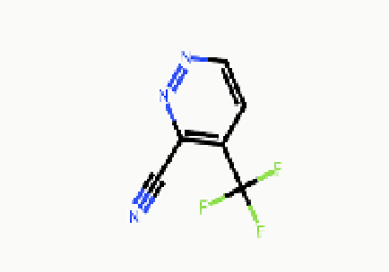 N#Cc1nnccc1C(F)(F)F